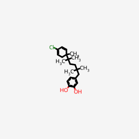 CC(C)(CCC(C)(C)C1(C)C=CC(Cl)=CC1)Cc1ccc(O)c(O)c1